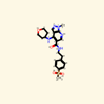 CCn1ncc2c(NC3CCOCC3)c(C(=O)NCCc3ccc(S(C)(=O)=O)cc3)cnc21